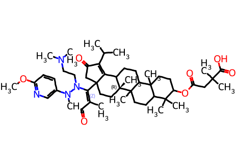 COc1ccc(N(C)N(CCN(C)C)/C(=C(/C)C=O)C23CC[C@]4(C)C(CCC5C6(C)CCC(OC(=O)CC(C)(C)C(=O)O)C(C)(C)C6CCC54C)C2=C(C(C)C)C(=O)C3)cn1